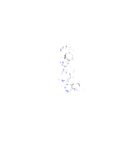 COC(=O)c1cccc(NC(=NC#N)N2CCN(c3ncnc4[nH]cc(C)c34)C[C@@H]2C)c1